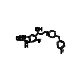 O=CC1Nc2cc(F)c(C(O)CCN3CCC(Cc4ccc(F)cc4)CC3)cc2N1